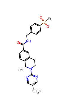 CCS(=O)(=O)c1ccc(CNC(=O)c2ccc3c(c2)CCN(c2ncc(C(=O)O)cn2)[C@@H]3C(C)C)cc1